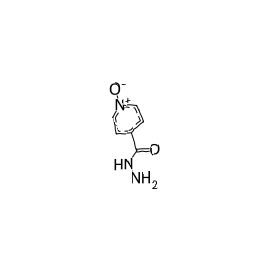 NNC(=O)c1cc[n+]([O-])cc1